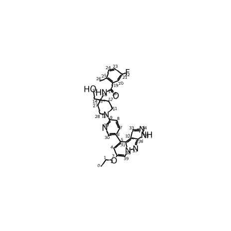 CCOc1cc(-c2ccc(N3CCC(CO)(NC(=O)c4cc(F)ccc4C)CC3)nc2)c2c3cn[nH]c3nn2c1